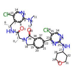 C[C@H](C(=O)N[C@H](C)c1cc(N(C)C)ncc1Cl)N1Cc2ccc(-c3nc(NC4CCOCC4)ncc3Cl)cc2C1=O